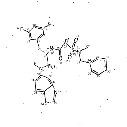 CN(C(=O)[C@H](Cc1cc(F)cc(F)c1)NC(=O)NS(=O)(=O)N(C)Cc1ccccc1)c1ccc2scnc2c1